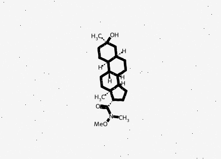 CON(C)C(=O)[C@H]1CC[C@H]2[C@@H]3CC[C@@H]4C[C@](C)(O)CC[C@@H]4[C@H]3CC[C@]12C